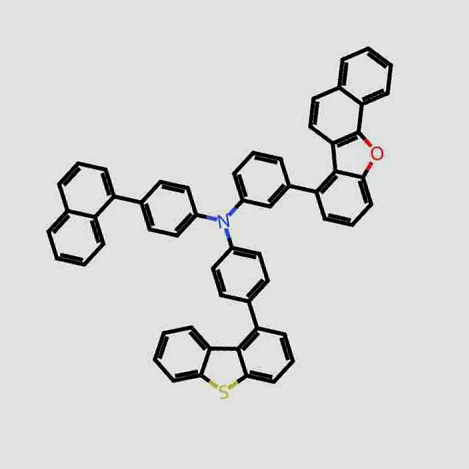 c1cc(-c2cccc3oc4c5ccccc5ccc4c23)cc(N(c2ccc(-c3cccc4ccccc34)cc2)c2ccc(-c3cccc4sc5ccccc5c34)cc2)c1